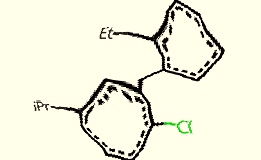 CCc1ccccc1-c1cc(C(C)C)ccc1Cl